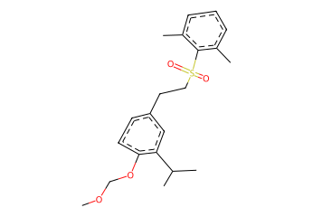 COCOc1ccc(CCS(=O)(=O)c2c(C)cccc2C)cc1C(C)C